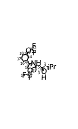 CC(C)C[C@@](C)(O)CC(=O)N[C@@H](COC(F)F)c1cccc(OC(F)F)c1